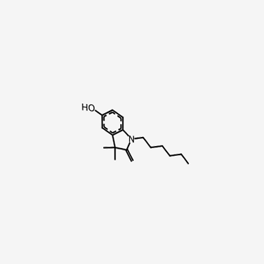 C=C1N(CCCCCC)c2ccc(O)cc2C1(C)C